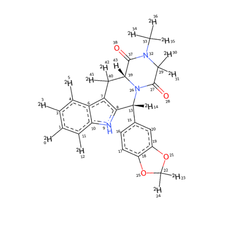 [2H]c1c([2H])c([2H])c2c3c([nH]c2c1[2H])[C@@]([2H])(c1ccc2c(c1)OC([2H])([2H])O2)N1C(=O)C([2H])([2H])N(C([2H])([2H])[2H])C(=O)[C@H]1C3([2H])[2H]